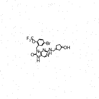 O=c1[nH]c2cnc(NC[C@H]3CC[C@@H](O)C3)nc2n1Cc1cc(Br)ccc1OC(F)(F)F